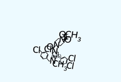 CN(Cc1ccc(Cl)c(Cl)c1)[C@H]1CN(C(=O)N2CCN(S(C)(=O)=O)CC2)C[C@@H]1c1ccc(Cl)c(Cl)c1